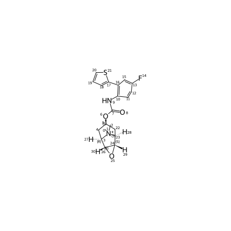 C[N+]1(C)[C@@H]2C[C@@H](OC(=O)Nc3ccc(F)cc3-c3cccs3)C[C@H]1[C@@H]1O[C@@H]12